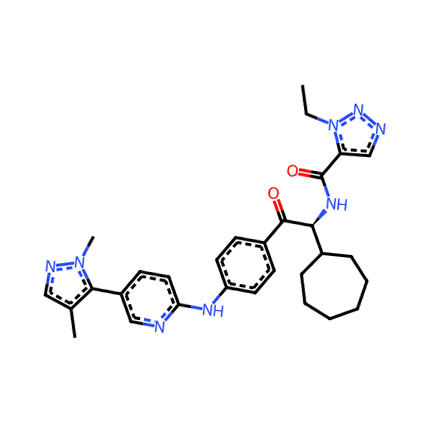 CCn1nncc1C(=O)N[C@H](C(=O)c1ccc(Nc2ccc(-c3c(C)cnn3C)cn2)cc1)C1CCCCCC1